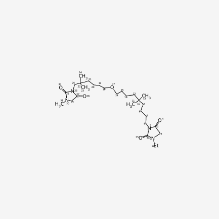 CCN1CC(=O)N(CCCCC(C)(C)CCCCOCCCCC(C)(C)CN2C(=O)CN(C)C2=O)C1=O